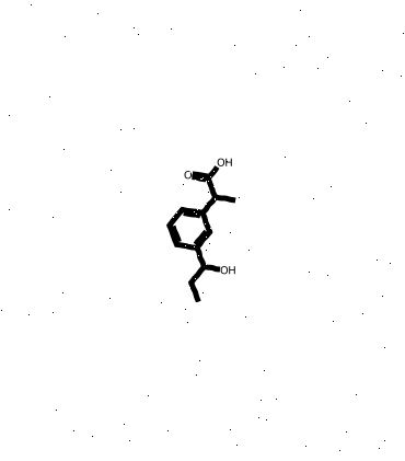 CCC(O)c1cccc(C(C)C(=O)O)c1